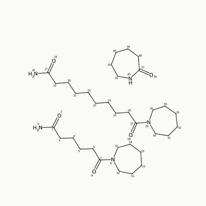 NC(=O)CCCCC(=O)N1CCCCCC1.NC(=O)CCCCCCCCC(=O)N1CCCCCC1.O=C1CCCCCN1